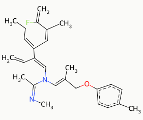 C=CC(=C\N(/C=C(\C)COc1ccc(C)cc1)/C(C)=N\C)/C(/C=C(/C)C(=C)F)=C/CC